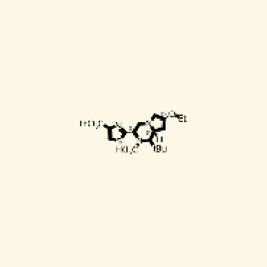 CCOC(=O)c1csc([C@@H]2CN3C[C@H](OCC)C[C@@H]3C(C(C)(C)C)N2C(=O)O)n1